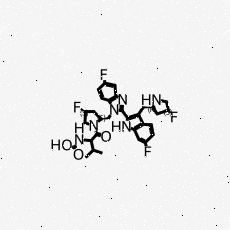 CC(C)C(NC(=O)O)C(=O)N1C[C@@H](F)C[C@H]1Cn1c(-c2[nH]c3cc(F)ccc3c2C[C@@H]2C[C@H](F)CN2)nc2cc(F)ccc21